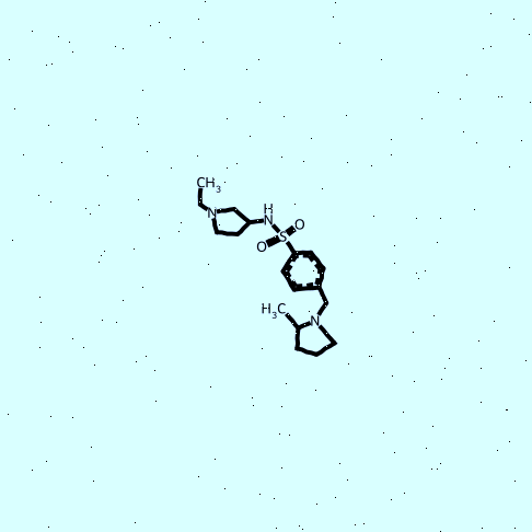 CCN1CCC(NS(=O)(=O)c2ccc(CN3CCCC3C)cc2)C1